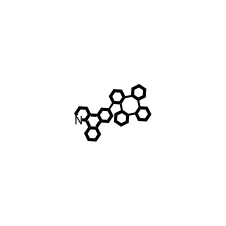 c1ccc2c(c1)-c1ccccc1-c1cccc(-c3ccc4c5ccccc5c5ncccc5c4c3)c1-c1ccccc1-2